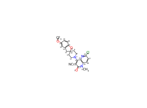 Cn1c(=O)c(C#N)c(N2CCC3(CC2)Cc2cc(OC(F)(F)F)ccc2O3)c2nc(Cl)ccc21